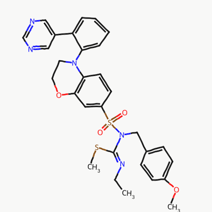 CC/N=C(\SC)N(Cc1ccc(OC)cc1)S(=O)(=O)c1ccc2c(c1)OCCN2c1ccccc1-c1cncnc1